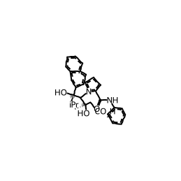 CC(C)[C@@](O)(c1ccc2ccccc2c1)C(n1cccc1C(=O)Nc1ccccc1)[C@](C)(O)CC(=O)O